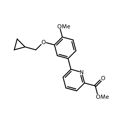 COC(=O)c1cccc(-c2ccc(OC)c(OCC3CC3)c2)n1